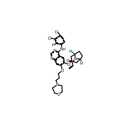 C=CC(=O)N1[C@@H]2CC[C@H]1C[C@H](Oc1cc3c(Nc4ccc(Cl)c(Cl)c4F)ncnc3cc1OCCCN1CCOCC1)C2